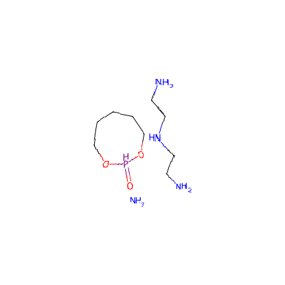 N.NCCNCCN.O=[PH]1OCCCCCO1